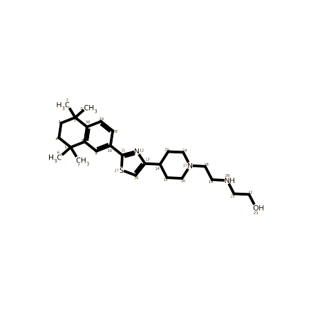 CC1(C)CCC(C)(C)c2cc(-c3nc(C4CCN(CCNCCO)CC4)cs3)ccc21